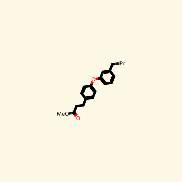 COC(=O)CCc1ccc(Oc2cccc(CC(C)C)c2)cc1